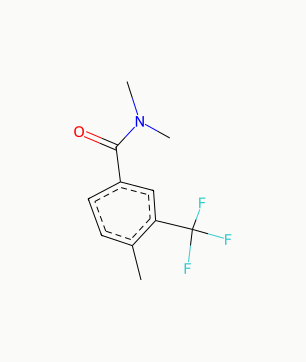 Cc1ccc(C(=O)N(C)C)cc1C(F)(F)F